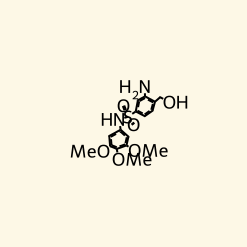 COc1cc(NS(=O)(=O)c2ccc(CO)c(N)c2)cc(OC)c1OC